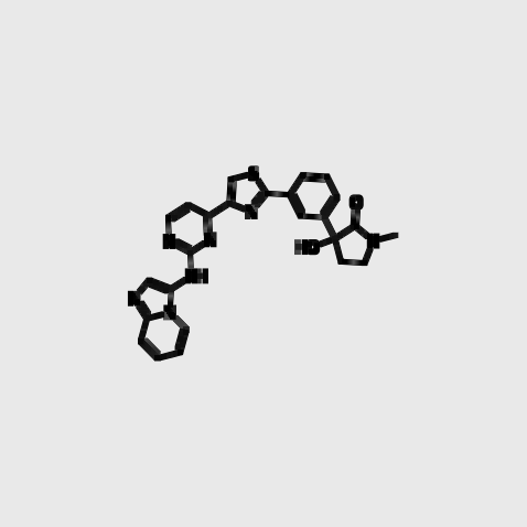 CN1CCC(O)(c2cccc(-c3nc(-c4ccnc(Nc5cnc6ccccn56)n4)cs3)c2)C1=O